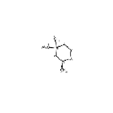 COC1(C)CCO[C@@H](C)C1